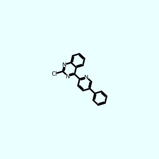 Clc1nc(-c2ccc(-c3ccccc3)cn2)c2ccccc2n1